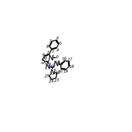 Cn1c(-c2ccccc2)cs/c1=N/C(=N/c1ccccc1)N1CCCC1